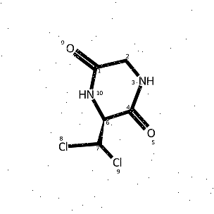 O=C1CNC(=O)[C@@H](C(Cl)Cl)N1